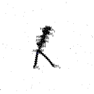 CCCCCCCCCCCCC/C=C/[C@@H](O)[C@H](CO[C@@H]1OC(CO)[C@@H](O[C@@H]2OC(CO)[C@H](O[C@@H]3OC(CO)[C@H](O)[C@H](O[C@@H]4OC(CO)[C@H](O)[C@H](O[C@H]5OC(CO)[C@H](O)[C@H](O)C5NC(C)=O)C4NC(C)=O)C3O)[C@H](O)C2O)[C@H](O)C1O)NC(=O)CCCCCCCCCCCCCCCCCCC